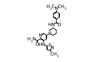 Cc1cc(Nc2cc(N3CCC[C@@H](NC(=O)c4ccc(N(C)C)cc4)C3)cnc2C(N)=O)sn1